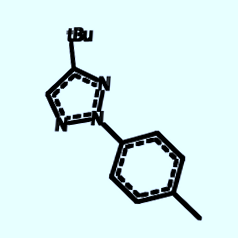 Cc1ccc(-n2ncc(C(C)(C)C)n2)cc1